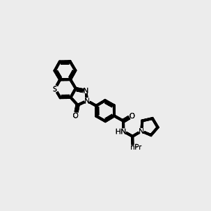 CCCC(NC(=O)c1ccc(-n2nc3c4ccccc4scc-3c2=O)cc1)N1CCCC1